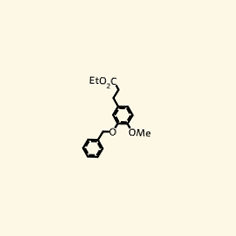 CCOC(=O)CCc1ccc(OC)c(OCc2ccccc2)c1